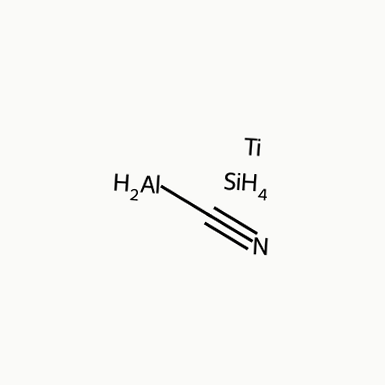 N#[C][AlH2].[SiH4].[Ti]